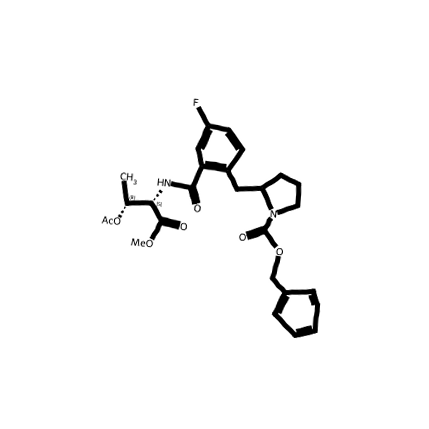 COC(=O)[C@@H](NC(=O)c1cc(F)ccc1CC1CCCN1C(=O)OCc1ccccc1)[C@@H](C)OC(C)=O